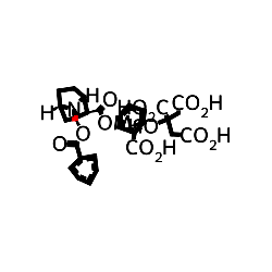 COC(=O)[C@H]1[C@@H](OC(=O)c2ccccc2)C[C@@H]2CC[C@H]1N2C.O=C(O)CC(O)(CC(=O)O)C(=O)O.O=C(O)c1ccccc1